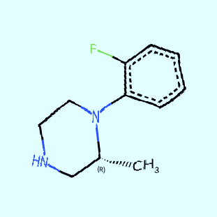 C[C@@H]1CNCCN1c1ccccc1F